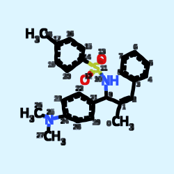 CC(=Cc1ccccc1)C(NS(=O)(=O)c1ccc(C)cc1)c1ccc(N(C)C)cc1